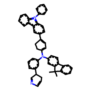 CC1(C)c2ccccc2-c2ccc(N(C3=CC=C(c4ccc5c(c4)c4ccccc4n5-c4ccccc4)CC3)c3cccc(C4C=NC=CC4)c3)cc21